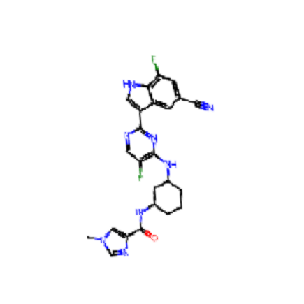 Cn1cnc(C(=O)NC2CCC[C@H](Nc3nc(-c4c[nH]c5c(F)cc(C#N)cc45)ncc3F)C2)c1